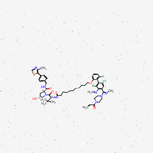 C=CC(=O)N1CCN(/C(=N/C)c2cc(Cl)c(-c3c(F)cccc3OCCCCCCCCCCC(=O)N[C@H](C(=O)N3C[C@H](O)C[C@H]3C(=O)NCc3ccc(-c4scnc4C)cc3)C(C)(C)C)c(F)c2N=C)CC1